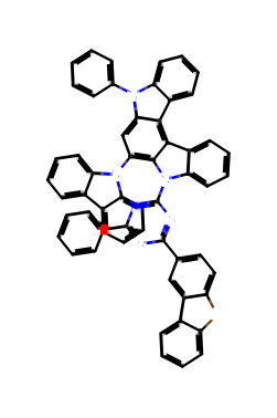 c1ccc(-c2nc(-c3ccc4sc5ccccc5c4c3)nc(-n3c4ccccc4c4c5c6ccccc6n(-c6ccccc6)c5cc(-n5c6ccccc6c6ccccc65)c43)n2)cc1